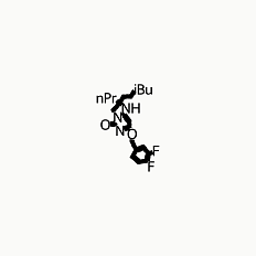 CCCC1(CCC(C)CC)Cn2c(cc(OCc3ccc(F)c(F)c3)nc2=O)N1